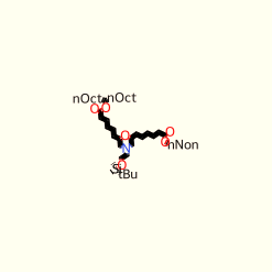 CCCCCCCCCOC(=O)CCCCCC1CN(CCO[Si](C)(C)C(C)(C)C)CC(CCCCCC(=O)OC(CCCCCCCC)CCCCCCCC)O1